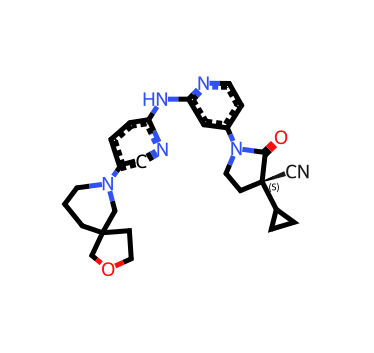 N#C[C@@]1(C2CC2)CCN(c2ccnc(Nc3ccc(N4CCCC5(CCOC5)C4)cn3)c2)C1=O